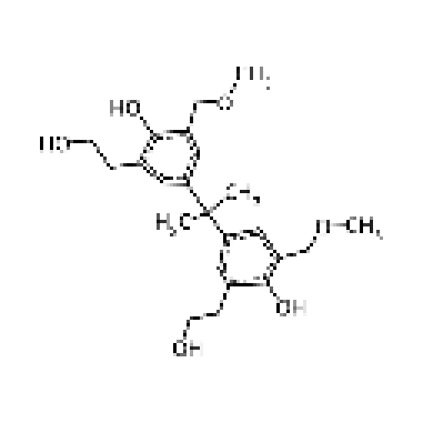 COCc1cc(C(C)(C)c2cc(CCO)c(O)c(COC)c2)cc(CCO)c1O